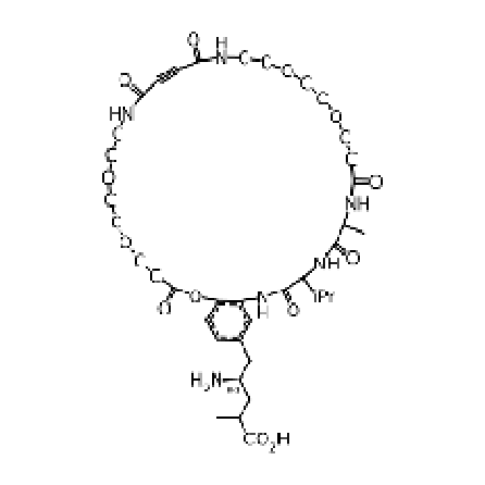 CC(C[C@@H](N)Cc1ccc2c(c1)NC(=O)C(C(C)C)NC(=O)C(C)NC(=O)CCOCCOCCNC(=O)C#CC(=O)NCCOCCOCCC(=O)O2)C(=O)O